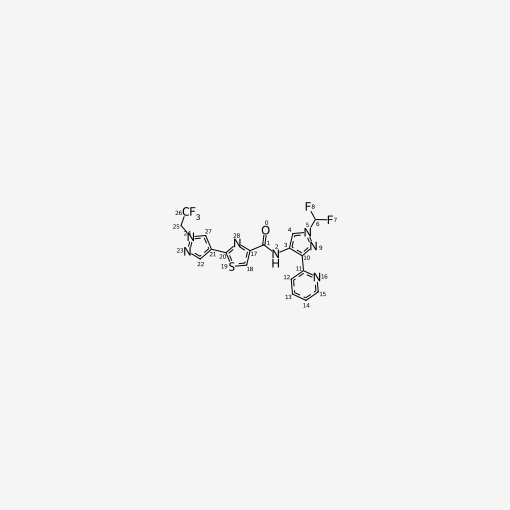 O=C(Nc1cn(C(F)F)nc1-c1ccccn1)c1csc(-c2cnn(CC(F)(F)F)c2)n1